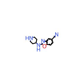 N#Cc1ccc2oc(NC3CCNCC3)nc2c1